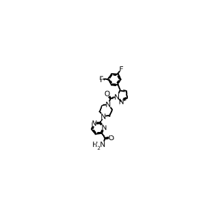 NC(=O)c1ccnc(N2CCN(C(=O)N3N=CCC3c3cc(F)cc(F)c3)CC2)n1